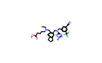 CCN(CCCCC(=O)OC)Cc1cc2c(cc1CN(Cc1cc(C#N)cc(C(F)(F)F)c1)c1nnn(C)n1)CCC2